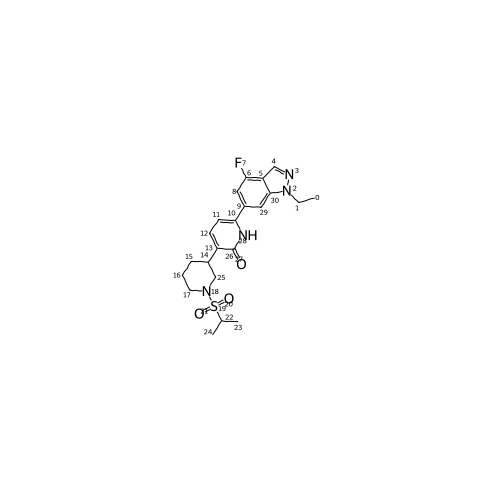 CCn1ncc2c(F)cc(-c3ccc(C4CCCN(S(=O)(=O)C(C)C)C4)c(=O)[nH]3)cc21